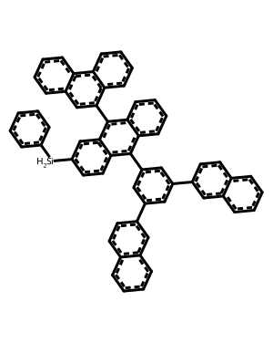 c1ccc([SiH2]c2ccc3c(-c4cc(-c5ccc6ccccc6c5)cc(-c5ccc6ccccc6c5)c4)c4ccccc4c(-c4cc5ccccc5c5ccccc45)c3c2)cc1